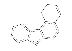 C1=Cc2ccc3sc4ccccc4c3c2CC1